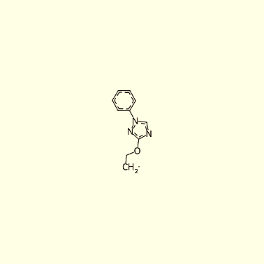 [CH2]COc1ncn(-c2ccccc2)n1